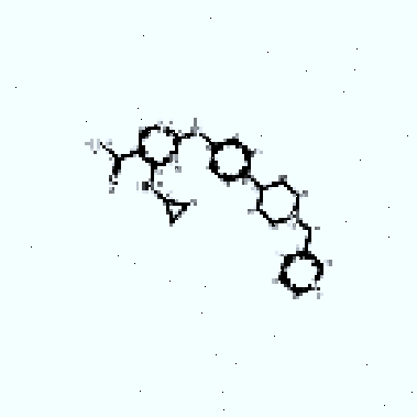 NC(=O)c1cnc(Nc2ccc(C3CCN(Cc4cccnc4)CC3)cc2)nc1NC1CC1